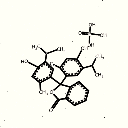 Cc1cc(O)c(C(C)C)cc1C1(c2cc(C(C)C)c(O)cc2C)OC(=O)c2ccccc21.O=P(O)(O)O